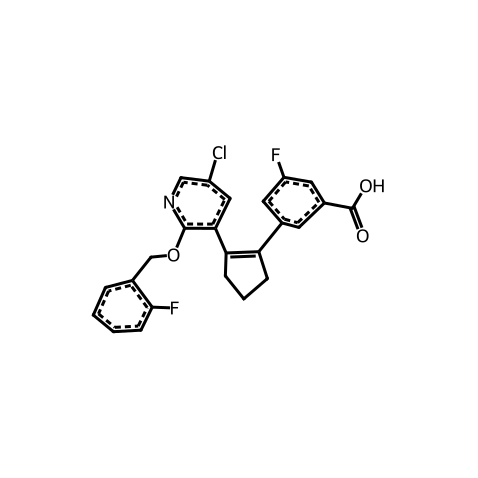 O=C(O)c1cc(F)cc(C2=C(c3cc(Cl)cnc3OCc3ccccc3F)CCC2)c1